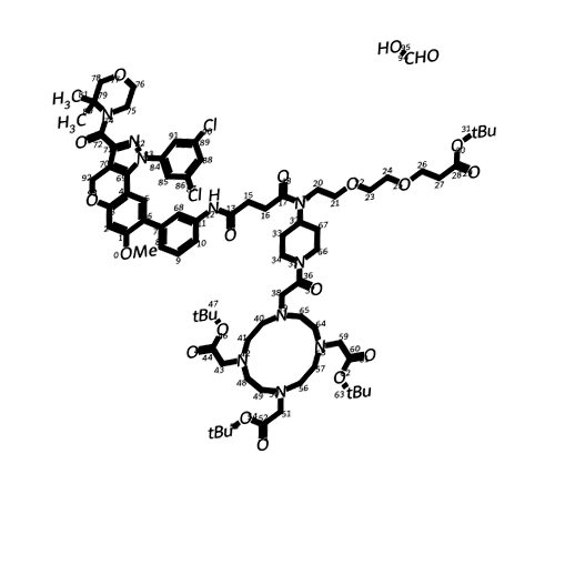 COc1cc2c(cc1-c1cccc(NC(=O)CCC(=O)N(CCOCCOCCC(=O)OC(C)(C)C)C3CCN(C(=O)CN4CCN(CC(=O)OC(C)(C)C)CCN(CC(=O)OC(C)(C)C)CCN(CC(=O)OC(C)(C)C)CC4)CC3)c1)-c1c(c(C(=O)N3CCOCC3(C)C)nn1-c1cc(Cl)cc(Cl)c1)CO2.O=CO